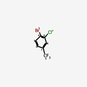 FC(F)(F)c1[c]cc(Br)c(Cl)c1